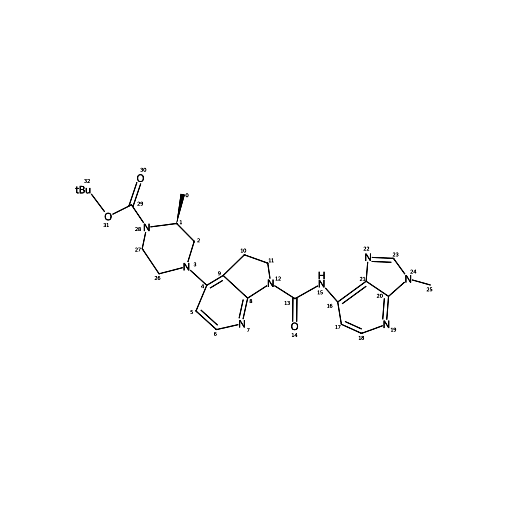 C[C@H]1CN(c2ccnc3c2CCN3C(=O)Nc2ccnc3c2ncn3C)CCN1C(=O)OC(C)(C)C